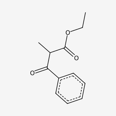 CCOC(=O)C(C)C(=O)c1ccccc1